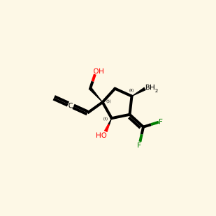 B[C@@H]1C[C@](C=C=C)(CO)[C@H](O)C1=C(F)F